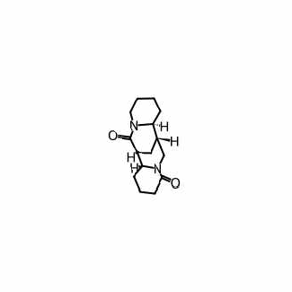 O=C1CCC[C@@H]2[C@H]3C[C@@H](CN12)[C@@H]1CCCCN1C3=O